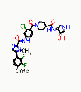 COc1ccc(-c2cnc(C(=O)Nc3ccc(C(=O)N4CCC(C(=O)N[C@H]5CNC[C@@H]5O)CC4)c(Cl)c3)n2C)c(F)c1F